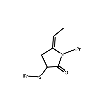 CC=C1CC(SC(C)C)C(=O)N1C(C)C